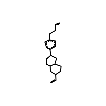 C=CCCc1ccc(C2CCC3CC(C=C)CCC3C2)cc1